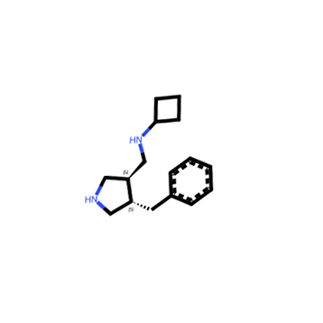 c1ccc(C[C@@H]2CNC[C@H]2CNC2CCC2)cc1